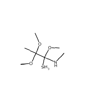 CNC([SiH3])(OC)C(C)(OC)OC